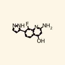 Nc1cc(O)c2ccc(-c3ccn[nH]3)c(F)c2n1